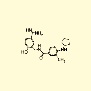 Cc1cc(C(=O)NCc2cc(C(=N)N)ccc2O)ccc1NC1CCCC1